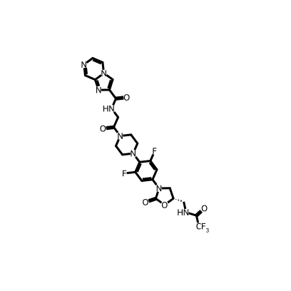 O=C(NCC(=O)N1CCN(c2c(F)cc(N3C[C@H](CNC(=O)C(F)(F)F)OC3=O)cc2F)CC1)c1cn2ccncc2n1